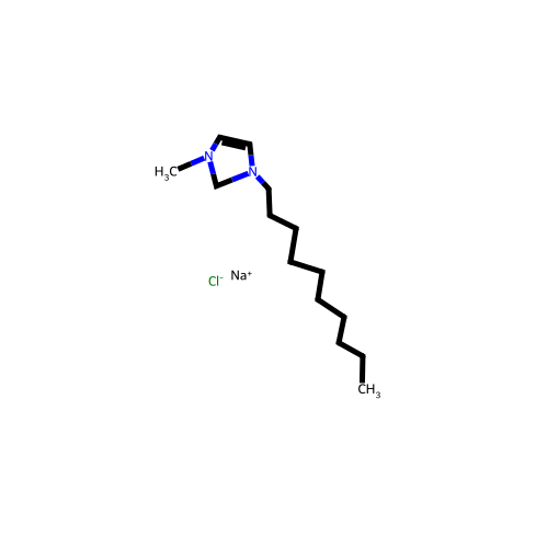 CCCCCCCCCCN1C=CN(C)C1.[Cl-].[Na+]